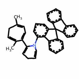 CC1=CC=C(C2=CCC=CN2c2cccc3c2-c2ccccc2C32c3ccccc3-c3ccccc32)C(C)=CC1